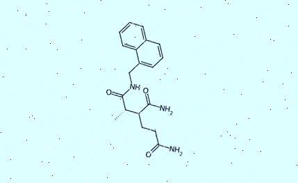 C[C@H](C(=O)NCc1cccc2ccccc12)C(CCC(N)=O)C(N)=O